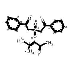 CC(=O)C=C(C)C.O=C(CS(=O)(=O)CC(=O)c1ccccc1)c1ccccc1